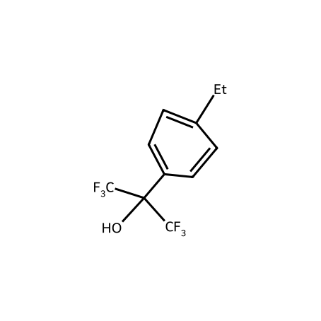 CCc1ccc(C(O)(C(F)(F)F)C(F)(F)F)cc1